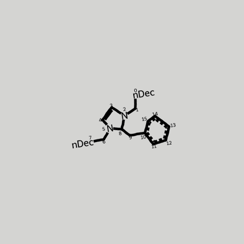 CCCCCCCCCCCN1C=CN(CCCCCCCCCCC)C1Cc1ccccc1